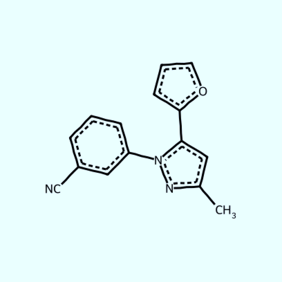 Cc1cc(-c2ccco2)n(-c2cccc(C#N)c2)n1